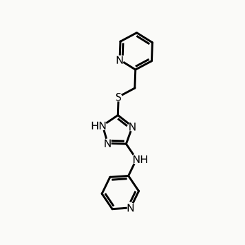 c1ccc(CSc2nc(Nc3cccnc3)n[nH]2)nc1